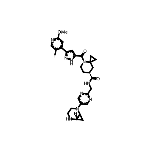 COc1cc(-c2cc(C(=O)N3CC[C@H](C(=O)NCc4ncc(N5CCN[C@H]6C[C@H]65)cn4)CC34CC4)[nH]n2)c(F)cn1